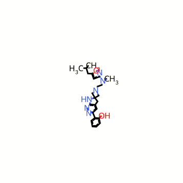 CC(C)Cc1cc(N(C)CCN2CC3(Cc4cc(-c5ccccc5O)nnc4N3)C2)no1